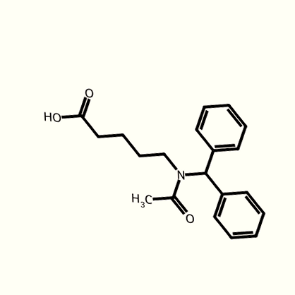 CC(=O)N(CCCCC(=O)O)C(c1ccccc1)c1ccccc1